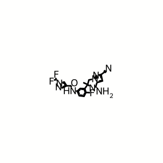 CC1(c2cc(NC(=O)c3cnn(C(F)F)c3)ccc2F)Cn2nc(C#N)cc2C(N)=N1